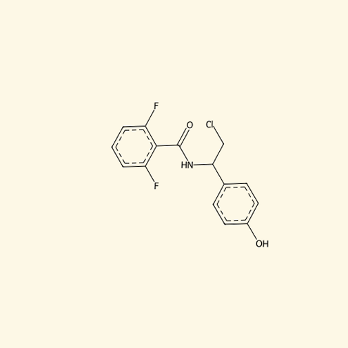 O=C(NC(CCl)c1ccc(O)cc1)c1c(F)cccc1F